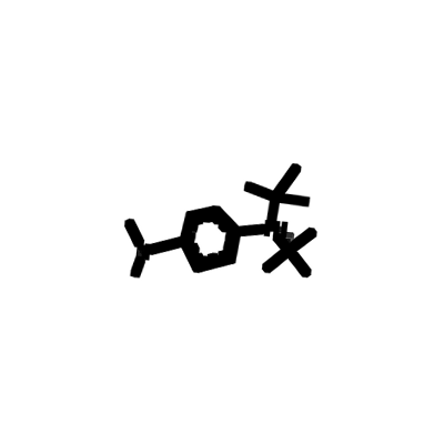 CN(C)c1ccc([PH2](C(C)(C)C)C(C)(C)C)cc1